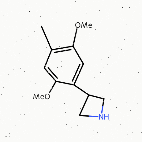 COc1cc(C2CNC2)c(OC)cc1C